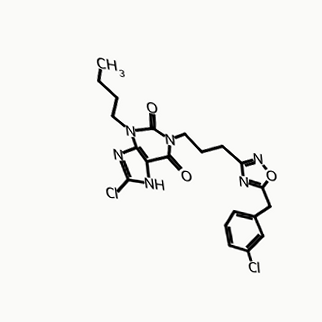 CCCCn1c(=O)n(CCCc2noc(Cc3cccc(Cl)c3)n2)c(=O)c2[nH]c(Cl)nc21